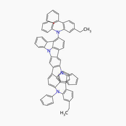 CCc1ccc(-c2ccccc2)c(N(c2ccccc2)c2ccc3c4cc5c(cc4n4c6ccccc6c2c34)c2ccc(N(c3ccccc3)c3cc(CC)ccc3-c3ccccc3)c3c4ccccc4n5c23)c1